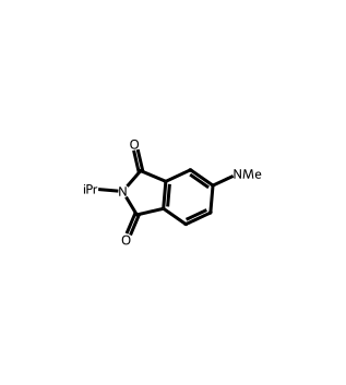 CNc1ccc2c(c1)C(=O)N(C(C)C)C2=O